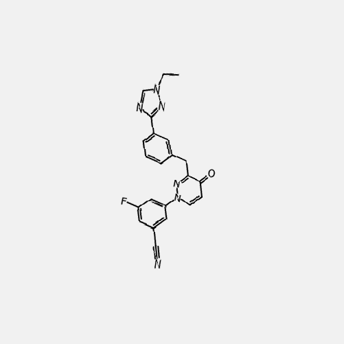 CCn1cnc(-c2cccc(Cc3nn(-c4cc(F)cc(C#N)c4)ccc3=O)c2)n1